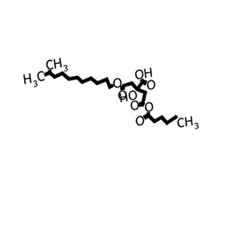 CCCCCC(=O)OC(=O)CC(O)(CC(=O)OCCCCCCCCCC(C)C)C(=O)O